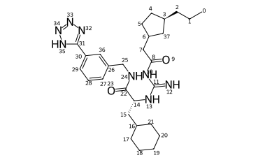 CCC[C@@H]1CCC(CC(=O)NC(=N)N[C@H](CC2CCCCC2)C(=O)NCc2cccc(-c3nnn[nH]3)c2)C1